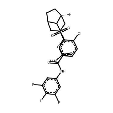 NC(=O)OCC1CC2CC[C@@H](C1)C2S(=O)(=O)c1cc(C(=O)Nc2cc(F)c(F)c(F)c2)ccc1Cl